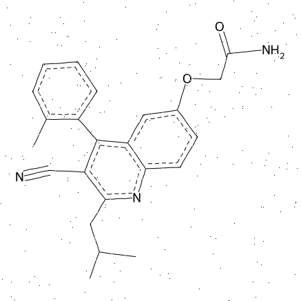 Cc1ccccc1-c1c(C#N)c(CC(C)C)nc2ccc(OCC(N)=O)cc12